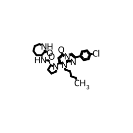 CCCCCn1c(N2CCC[C@H]2C(=O)N[C@H]2CCCCNC2=O)cc(=O)n2cc(-c3ccc(Cl)cc3)nc12